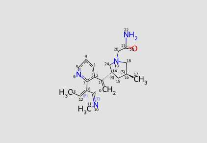 C=C(c1cccnc1C(/C=N\C)=C\C)[C@H]1C[C@H](C)CN(CC(N)=O)C1